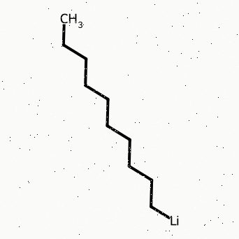 [Li][CH2]CCCCCCCCC